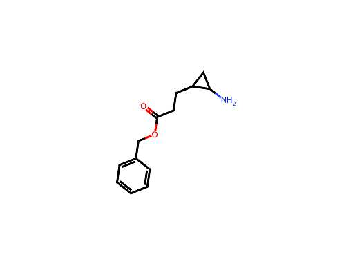 NC1CC1CCC(=O)OCc1ccccc1